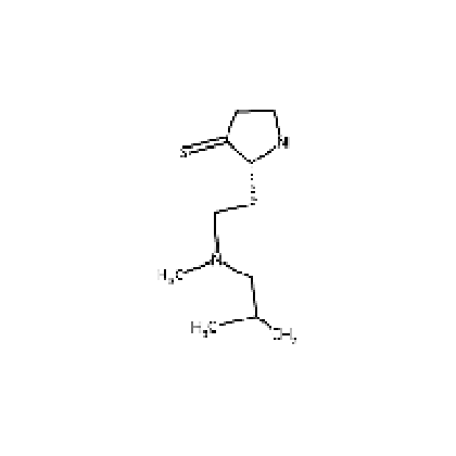 CC(C)CN(C)CC[C@H]1NCCC1=S